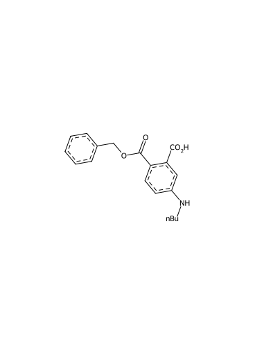 CCCCNc1ccc(C(=O)OCc2ccccc2)c(C(=O)O)c1